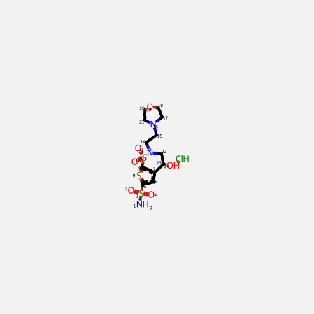 Cl.NS(=O)(=O)c1cc2c(s1)S(=O)(=O)N(CCN1CCOCC1)CC2O